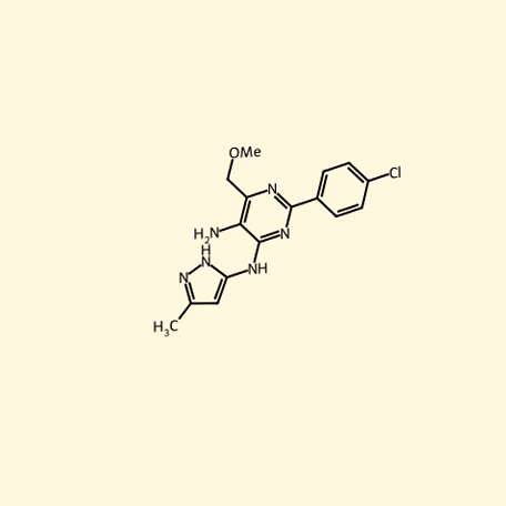 COCc1nc(-c2ccc(Cl)cc2)nc(Nc2cc(C)n[nH]2)c1N